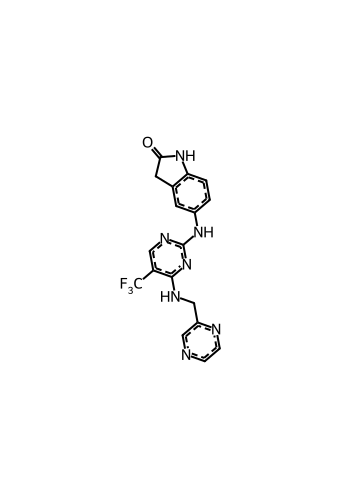 O=C1Cc2cc(Nc3ncc(C(F)(F)F)c(NCc4cnccn4)n3)ccc2N1